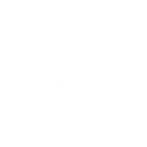 CCC(C)C(NC(=O)[C@H](CCC(=O)OC(C)(C)C)NC(=O)[C@@H](NC(=O)OCc1ccccc1)C(C)C)C(=O)O